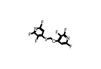 Fc1cc(OCSc2cc(F)nc(F)c2F)c(F)c(F)n1